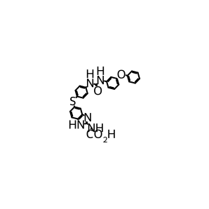 O=C(O)Nc1nc2cc(Sc3ccc(NC(=O)Nc4cccc(Oc5ccccc5)c4)cc3)ccc2[nH]1